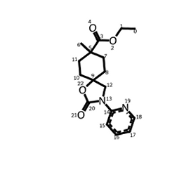 CCOC(=O)C1(C)CCC2(CC1)CN(c1ccccn1)C(=O)O2